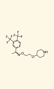 CC(=NOCCOC1CCNCC1)c1ccc(C(F)(F)F)c(C(F)(F)F)c1